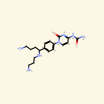 NCCCNC(CCCN)c1ccc(-n2ccc(NC(N)=O)nc2=O)cc1